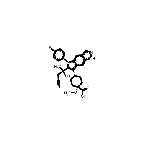 CO[C@]1(C(=O)O)CC[C@H](c2c(C(C)(C)CC#N)n(-c3ccc(F)cc3)c3cc4cn[nH]c4cc32)CC1